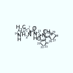 CC(CC1CCN1)C[C@H](N)C(=O)NCC(=O)N(C)C(c1ccccc1)c1ccccc1